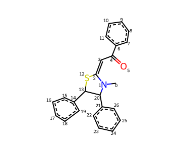 CN1C(=CC(=O)c2ccccc2)SC(c2ccccc2)C1c1ccccc1